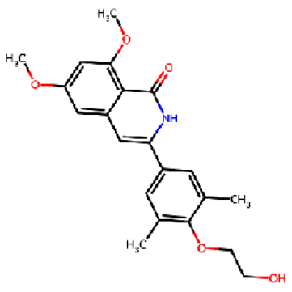 COc1cc(OC)c2c(=O)[nH]c(-c3cc(C)c(OCCO)c(C)c3)cc2c1